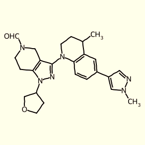 CC1CCN(c2nn(C3CCOC3)c3c2CN(C=O)CC3)c2ccc(-c3cnn(C)c3)cc21